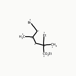 CCOC(=O)C(C)(CC)CC(C)CBr